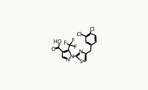 O=C(O)c1cnn(-c2nc(Cc3ccc(Cl)c(Cl)c3)cs2)c1C(F)(F)F